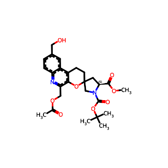 COC(=O)[C@@H]1CC2(CCc3c(c(COC(C)=O)nc4ccc(CO)cc34)O2)CN1C(=O)OC(C)(C)C